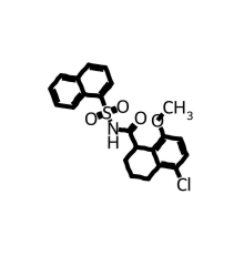 COc1ccc(Cl)c2c1C(C(=O)NS(=O)(=O)c1cccc3ccccc13)CCC2